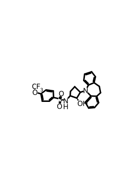 O=S(=O)(NC1CCC(N2c3ccccc3CCc3ccccc32)[C@H]1O)c1ccc(OC(F)(F)F)cc1